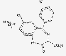 O=C(O)C1N=C(c2ccccc2)c2cc(Cl)ccc2NC1=O.[AlH3].[K+].[KH].[OH-]